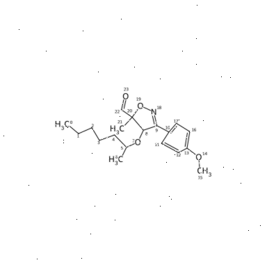 CCCCCC(C)OC1C(c2ccc(OC)cc2)=NOC1(C)C=O